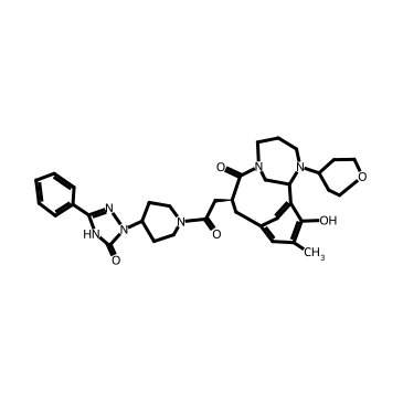 Cc1cc2cc(c1O)C1CN(CCCN1C1CCOCC1)C(=O)[C@H](CC(=O)N1CCC(n3nc(-c4ccccc4)[nH]c3=O)CC1)C2